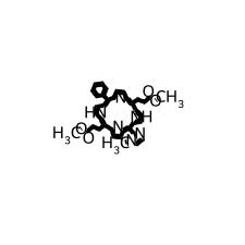 COC(=O)CCc1c2nc(c(-c3nccn3C)c3ccc([nH]3)c(CCC(=O)OC)c3nc(c(-c4ccccc4)c4ccc1[nH]4)C=C3)C=C2